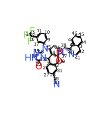 COC(=O)C1=C(C)N(c2cccc(C(F)(F)F)c2)c2n[nH]c(=O)n2C1c1ccc(C#N)cc1CC[N+](C)(C)Cc1nccc2ccccc12